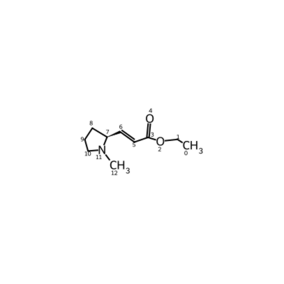 CCOC(=O)C=C[C@@H]1CCCN1C